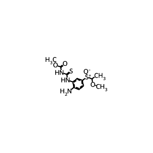 COC(=O)NC(=S)Nc1cc([S+]([O-])C(C)OC)ccc1N